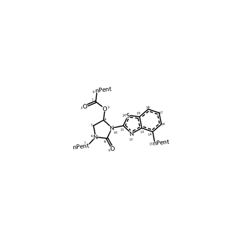 CCCCCC(=O)OC1CN(CCCCC)C(=O)N1c1nc2c(CCCCC)cccc2s1